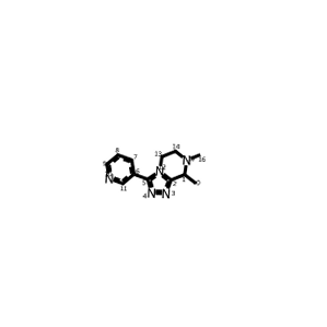 CC1c2nnc(-c3cccnc3)n2CCN1C